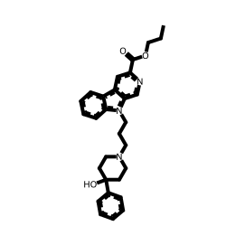 CCCOC(=O)c1cc2c3ccccc3n(CCCN3CCC(O)(c4ccccc4)CC3)c2cn1